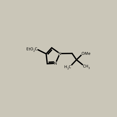 CCOC(=O)c1cnn(CC(C)(C)OC)c1